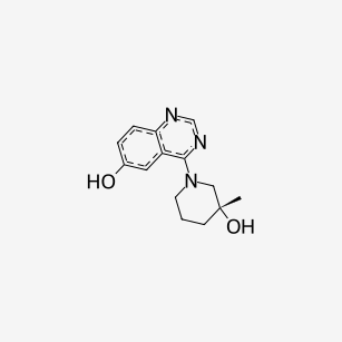 C[C@@]1(O)CCCN(c2ncnc3ccc(O)cc23)C1